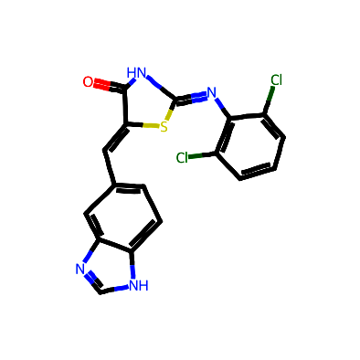 O=C1N/C(=N/c2c(Cl)cccc2Cl)S/C1=C\c1ccc2[nH]cnc2c1